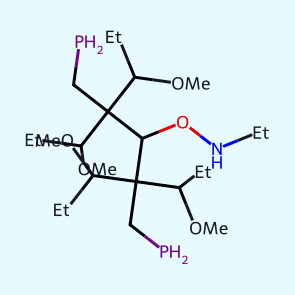 CCNOC(C(CP)(C(CC)OC)C(CC)OC)C(CP)(C(CC)OC)C(CC)OC